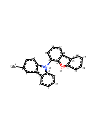 CC(C)(C)c1ccc2c(c1)c1ccccc1n2-c1cccc2c1oc1ccccc12